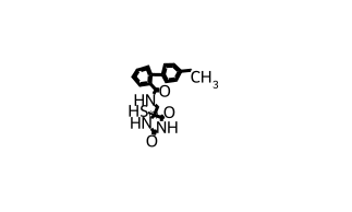 CCc1ccc(-c2ccccc2C(=O)NC[C@@]2(S)NC(=O)NC2=O)cc1